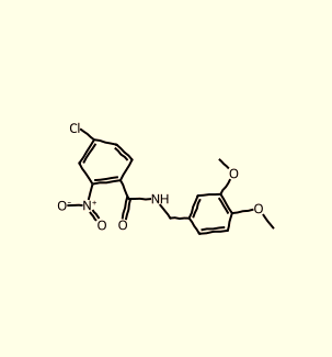 COc1ccc(CNC(=O)c2ccc(Cl)cc2[N+](=O)[O-])cc1OC